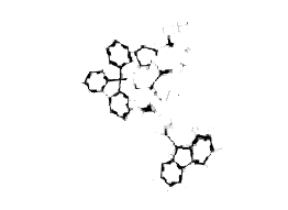 O=C(N[C@@H](CSC(c1ccccc1)(c1ccccc1)c1ccccc1)C(=O)N1CCC[C@H]1C(=O)O)OCC1c2ccccc2-c2ccccc21